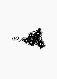 N#Cc1cccc(C#N)c1-c1c(-c2cccc(-c3ccc(C(=O)O)cc3Cl)c2)n(S(=O)(=O)c2ccc(C(F)F)cc2)c2ccc(F)cc12